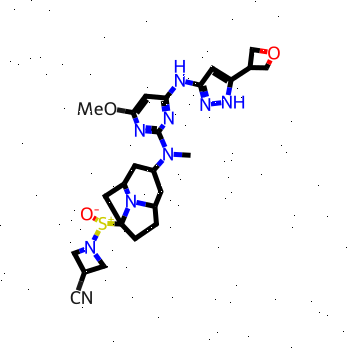 COc1cc(Nc2cc(C3COC3)[nH]n2)nc(N(C)C2CC3CCC4([S+]([O-])N5CC(C#N)C5)CC(C2)N34)n1